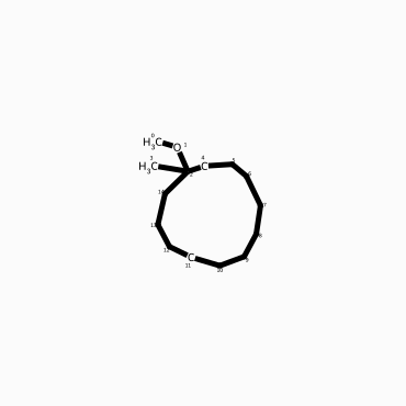 COC1(C)CCCCCCCCCCC1